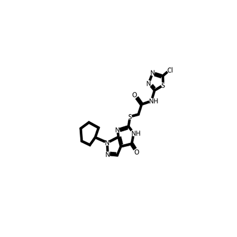 O=C(CSc1nc2c(cnn2C2CCCCC2)c(=O)[nH]1)Nc1nnc(Cl)s1